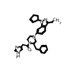 CCc1nn(C2CCCC2)c2cc(N3CCN(C(=O)Cc4c[nH]cn4)C(Cc4ccccc4)C3)ccc12